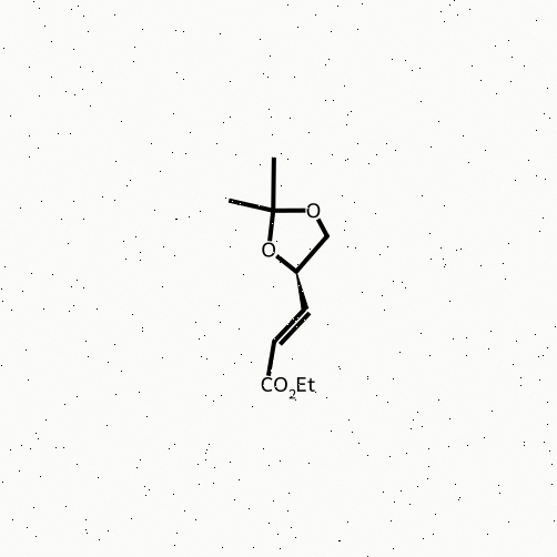 CCOC(=O)/C=C/[C@@H]1COC(C)(C)O1